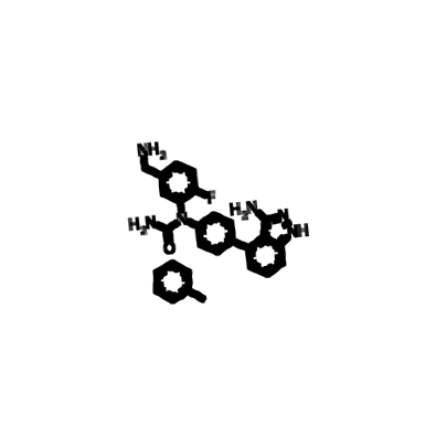 Cc1ccccc1.NCc1ccc(F)c(N(C(N)=O)c2ccc(-c3cccc4[nH]nc(N)c34)cc2)c1